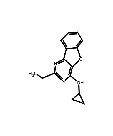 CCc1nc(NC2CC2)c2oc3ccccc3c2n1